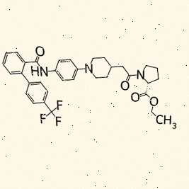 CCOC(=O)[C@H]1CCCN1C(=O)CC1CCN(c2ccc(NC(=O)c3ccccc3-c3ccc(C(F)(F)F)cc3)cc2)CC1